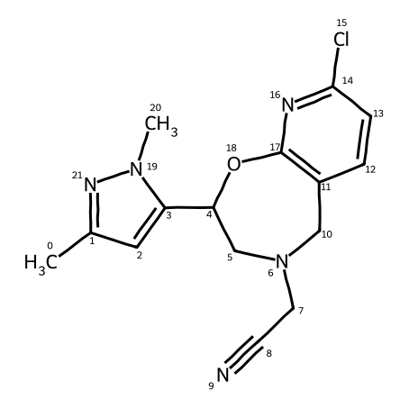 Cc1cc(C2CN(CC#N)Cc3ccc(Cl)nc3O2)n(C)n1